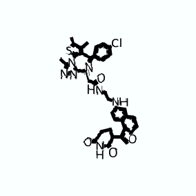 Cc1sc2c(c1C)C(c1ccc(Cl)cc1)=N[C@@H](CC(=O)NCCNc1ccc3c(ccc4occ(C5CCC(=O)NC5=O)c43)c1)c1nnc(C)n1-2